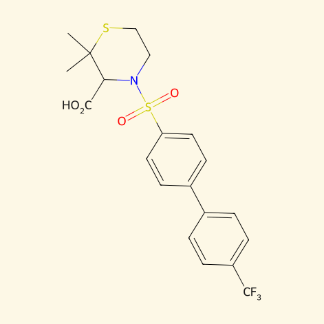 CC1(C)SCCN(S(=O)(=O)c2ccc(-c3ccc(C(F)(F)F)cc3)cc2)C1C(=O)O